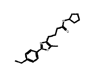 CCc1ccc(-c2nc(CCCC(=O)NC3CCCC3)c(C)o2)cc1